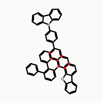 c1ccc(-c2ccccc2-c2c(-c3ccccc3)cccc2N(c2ccc(-c3ccc(-n4c5ccccc5c5ccccc54)cc3)cc2)c2cccc3c2oc2ccccc23)cc1